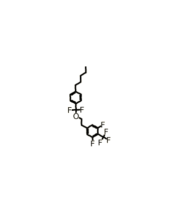 CCCCCc1ccc(C(F)(F)OCCc2cc(F)c(C(F)(F)F)c(F)c2)cc1